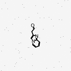 O=CCc1cn2ccccc2n1